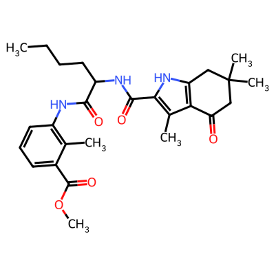 CCCCC(NC(=O)c1[nH]c2c(c1C)C(=O)CC(C)(C)C2)C(=O)Nc1cccc(C(=O)OC)c1C